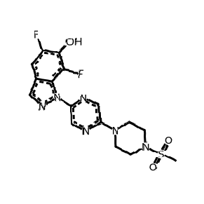 CS(=O)(=O)N1CCN(c2cnc(-n3ncc4cc(F)c(O)c(F)c43)cn2)CC1